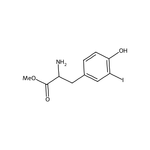 COC(=O)C(N)Cc1ccc(O)c(I)c1